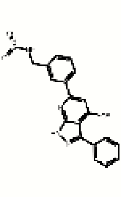 O=[SH](=O)NCc1cccc(-c2cc(C(F)(F)F)c3c(-c4ccccc4)n[nH]c3n2)c1